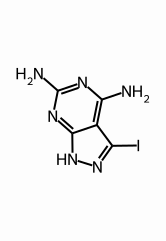 Nc1nc(N)c2c(I)n[nH]c2n1